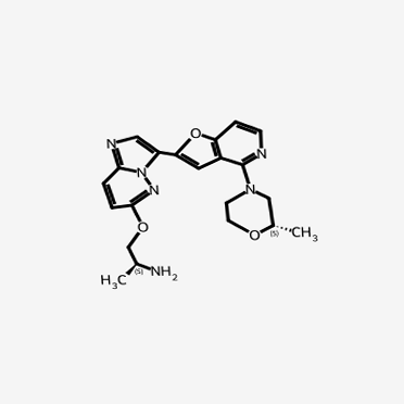 C[C@H](N)COc1ccc2ncc(-c3cc4c(N5CCO[C@@H](C)C5)nccc4o3)n2n1